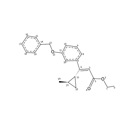 CCOC(=O)C=C(c1cccc(OCc2ccccc2)c1)[C@@H]1C[C@H]1C